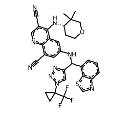 CC1(C)COCC[C@@H]1Nc1c(C#N)cnc2c(C#N)cc(N[C@H](c3cn(C4(C(F)(F)F)CC4)nn3)c3cccc4ncsc34)cc12